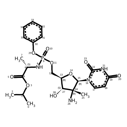 CC(C)OC(=O)[C@H](C)NP(=O)(OC[C@H]1O[C@@H](n2ccc(=O)[nH]c2=O)[C@](C)(N)[C@@H]1O)Oc1ccccc1